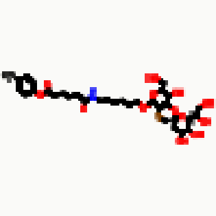 O=C(CCCCC(=O)Oc1ccc([N+](=O)[O-])cc1)NCCCCCCOC1OC(CO)C(O)C2=C1SC[C@]1(CC(O)C(O)[C@@H]([C@H](O)CO)O1)O2